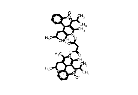 CC1=C(CC(C)C)C(c2ccccc2[N+](=O)[O-])C(CC(C)C)=C(C)N1OC(=O)CC(=O)ON1C(C)=C(CC(C)C)C(c2ccccc2[N+](=O)[O-])C(CC(C)C)=C1C